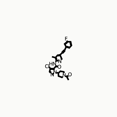 CC(=O)N1CCC(n2ncc(Cl)c2C(=O)Nc2ncc(C#Cc3cccc(F)c3)cc2C)CC1